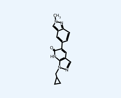 Cn1cc2cc(-c3cc4cnn(CC5CC5)c4[nH]c3=O)ccc2n1